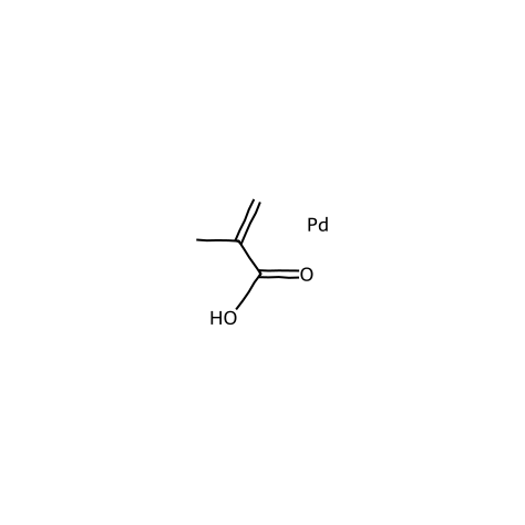 C=C(C)C(=O)O.[Pd]